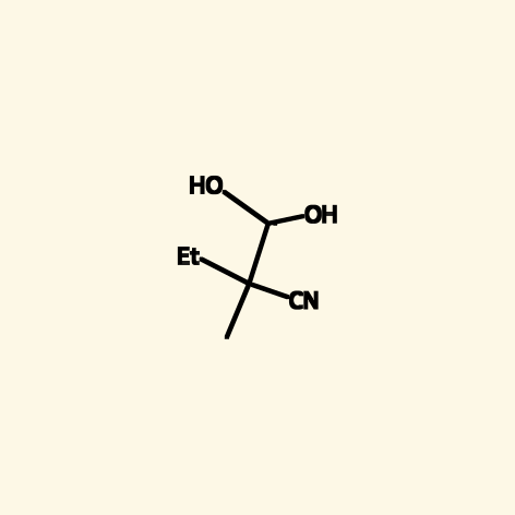 CCC(C)(C#N)[C](O)O